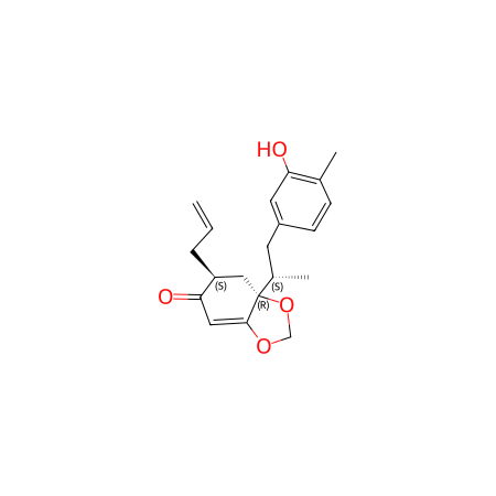 C=CC[C@H]1C[C@]2([C@@H](C)Cc3ccc(C)c(O)c3)OCOC2=CC1=O